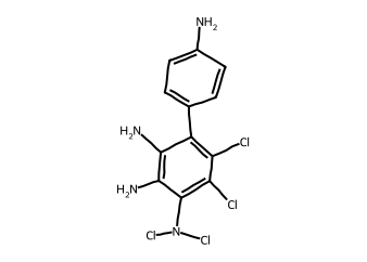 Nc1ccc(-c2c(N)c(N)c(N(Cl)Cl)c(Cl)c2Cl)cc1